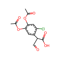 CC(=O)Oc1cc(Cl)c(C([C]=O)C(=O)O)cc1OC(C)=O